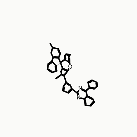 CC1C=CC2=C(C1)c1ccccc1[C@]21C2=C(C=C(c3cccc(-c4nc(-c5ccccc5)c5ccccc5n4)c3)C(C)C2)Oc2ccccc21